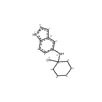 [C-]#[N+]C1(Nc2ccc3[nH]ncc3c2)CCCCC1